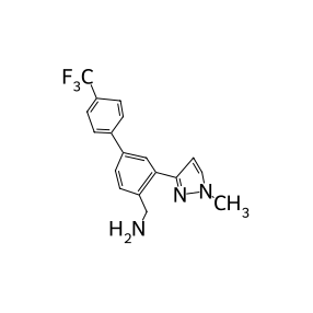 Cn1ccc(-c2cc(-c3ccc(C(F)(F)F)cc3)ccc2CN)n1